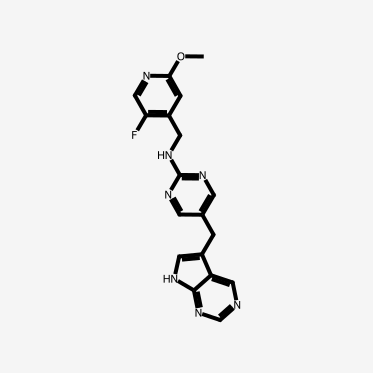 COc1cc(CNc2ncc(Cc3c[nH]c4ncncc34)cn2)c(F)cn1